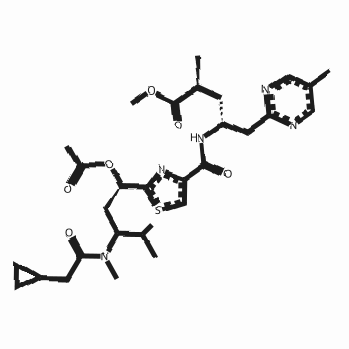 COC(=O)[C@@H](C)C[C@H](Cc1ncc(C)cn1)NC(=O)c1csc([C@@H](CC(C(C)C)N(C)C(=O)CC2CC2)OC(C)=O)n1